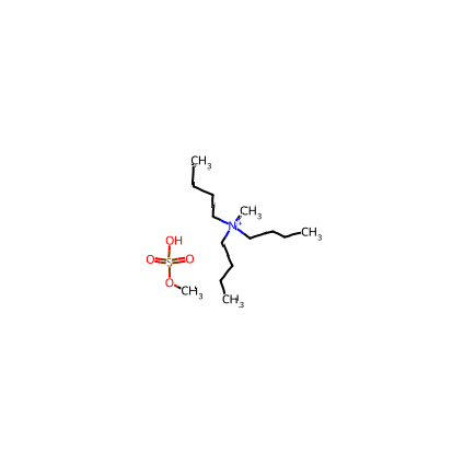 CCCC[N+](C)(CCCC)CCCC.COS(=O)(=O)O